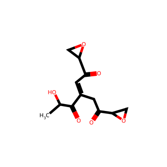 CC(O)C(=O)/C(=C/C(=O)C1CO1)CC(=O)C1CO1